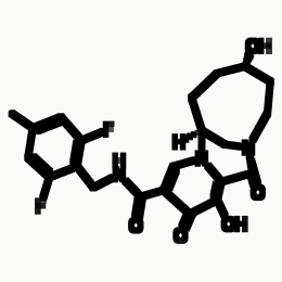 Cc1cc(F)c(CNC(=O)c2cn3c(c(O)c2=O)C(=O)N2CC[C@H](O)CC[C@H]3C2)c(F)c1